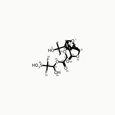 CC(C)(O)c1c2c3oc1c(OCC(=O)OC(O)C(F)(F)S(=O)(=O)O)c3OC2=O